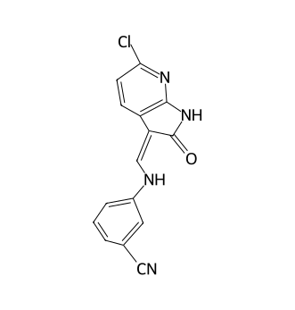 N#Cc1cccc(NC=C2C(=O)Nc3nc(Cl)ccc32)c1